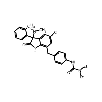 CCN(CC)C(=O)Nc1ccc(Cc2cc(Cl)cc3c2NC(=O)C3(c2ccccc2Cl)N(C)C)cc1